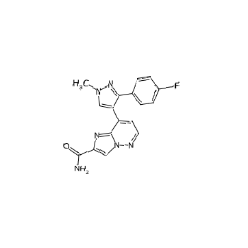 Cn1cc(-c2ccnn3cc(C(N)=O)nc23)c(-c2ccc(F)cc2)n1